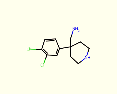 NCC1(c2ccc(Cl)c(Cl)c2)CCNCC1